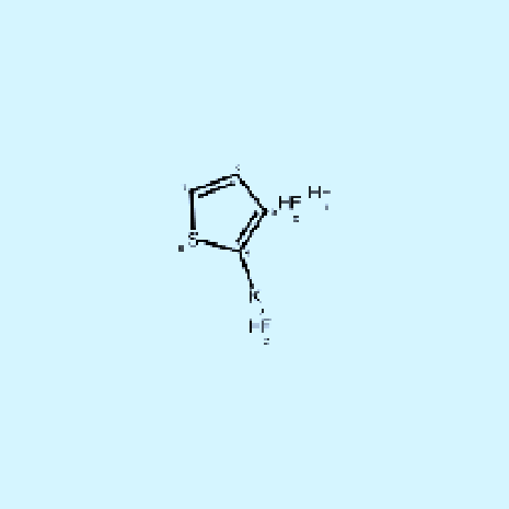 F.F.F.[K][c]1cccs1